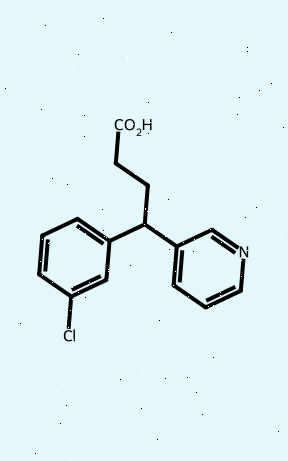 O=C(O)CCC(c1cccnc1)c1cccc(Cl)c1